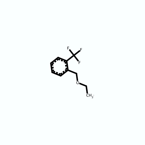 [CH2]COCc1ccccc1C(F)(F)F